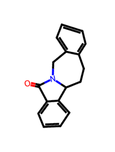 O=C1c2ccccc2C2CCc3ccccc3CN12